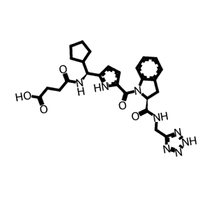 O=C(O)CCC(=O)N[C@H](c1ccc(C(=O)N2c3ccccc3C[C@H]2C(=O)NCc2nn[nH]n2)[nH]1)C1CCCC1